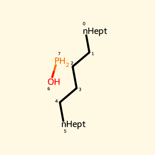 CCCCCCCCCCCCCCCCCC.OP